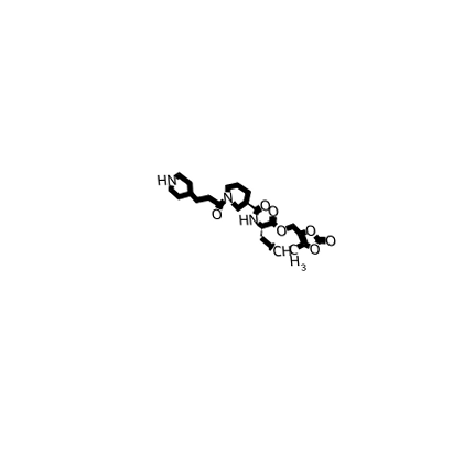 C#CC[C@H](NC(=O)[C@@H]1CCCN(C(=O)CCC2CCNCC2)C1)C(=O)OCc1oc(=O)oc1C